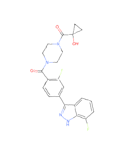 O=C(c1ccc(-c2n[nH]c3c(F)cccc23)cc1F)N1CCN(C(=O)C2(O)CC2)CC1